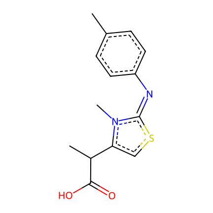 Cc1ccc(N=c2scc(C(C)C(=O)O)n2C)cc1